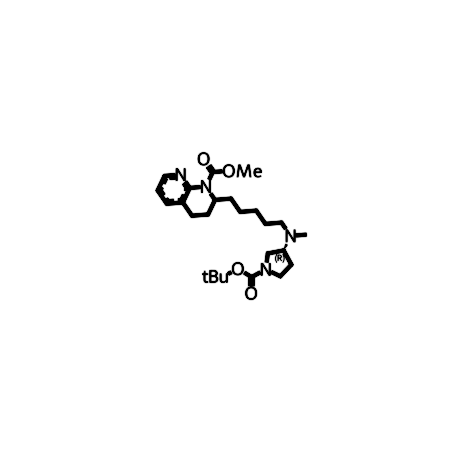 COC(=O)N1c2ncccc2CCC1CCCCCN(C)[C@@H]1CCN(C(=O)OC(C)(C)C)C1